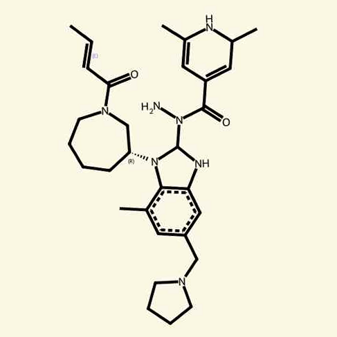 C/C=C/C(=O)N1CCCC[C@@H](N2c3c(C)cc(CN4CCCC4)cc3NC2N(N)C(=O)C2=CC(C)NC(C)=C2)C1